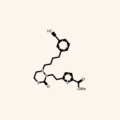 C#Cc1cccc(CCCCN2CCSC(=O)N2CCc2ccc(C(=O)OC)s2)c1